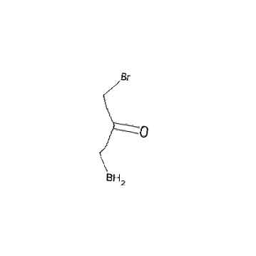 BCC(=O)CBr